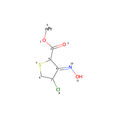 CCCOC(=O)C1SCC(Cl)C1=NO